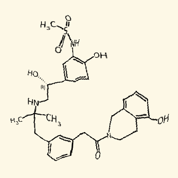 CC(C)(Cc1cccc(CC(=O)N2CCc3c(O)cccc3C2)c1)NC[C@H](O)c1ccc(O)c(NS(C)(=O)=O)c1